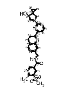 Cc1ncc(C(=O)NCc2cc3nc(-c4ccnc(N5C[C@@H](O)C6(CC6)C5)n4)ccc3cn2)cc1S(C)(=O)=O